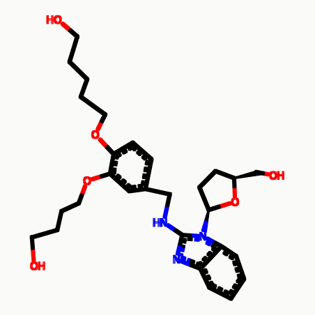 OCCCCCOc1ccc(CNc2nc3ccccc3n2[C@H]2CC[C@@H](CO)O2)cc1OCCCCO